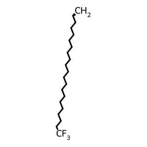 C=CCCCCCCCCCCCCCCCCCCC(F)(F)F